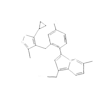 Cc1ccc2c(CC(=O)O)cc(-c3ccc(C(F)(F)F)cc3Cc3c(C)noc3C3CC3)n2n1